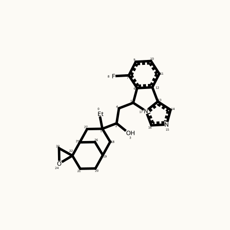 CCC1(C(O)CC2c3c(F)cccc3-c3cncn32)CC2CCC3(CO3)C(C2)C1